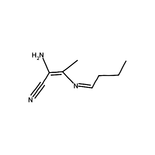 CCC/C=N\C(C)=C(\N)C#N